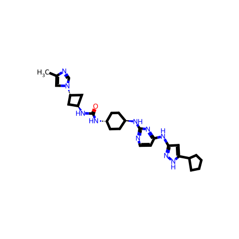 Cc1cn([C@H]2C[C@H](NC(=O)N[C@H]3CC[C@H](Nc4nccc(Nc5cc(C6CCCC6)[nH]n5)n4)CC3)C2)cn1